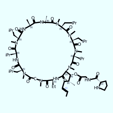 C/C=C/C[C@@H](C)[C@@H](OC(=O)CNC(=O)[C@@H]1CCCN1)[C@H]1C(=O)N[C@@H](CC)C(=O)N(C)CC(=O)N(C)[C@@H](CC(C)C)C(=O)N[C@@H](C(C)C)C(=O)N(C)[C@@H](CC(C)C)C(=O)N[C@@H](C)C(=O)N[C@H](C)C(=O)N(C)[C@@H](CC(C)C)C(=O)N(C)[C@@H](CC(C)C)C(=O)N(C)[C@@H](C(C)C)C(=O)N1C